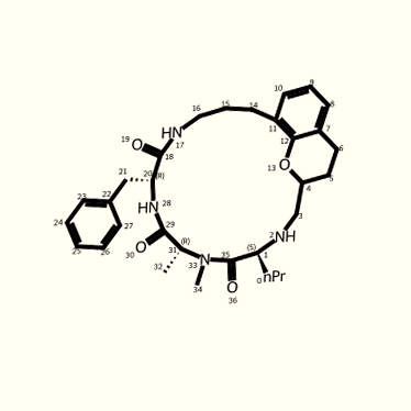 CCC[C@@H]1NCC2CCc3cccc(c3O2)CCCNC(=O)[C@@H](Cc2ccccc2)NC(=O)[C@@H](C)N(C)C1=O